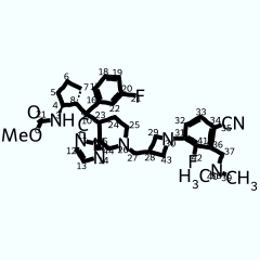 COC(=O)N[C@H]1CCC[C@@H]1[C@](Cn1ccnn1)(c1cccc(F)c1)C1CCN(CC2CN(c3ccc(C#N)c(CN(C)C)c3F)C2)CC1